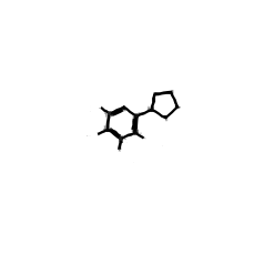 Cc1c(C(=O)O)cc(C2CCCC2)c(C)c1C(=O)O